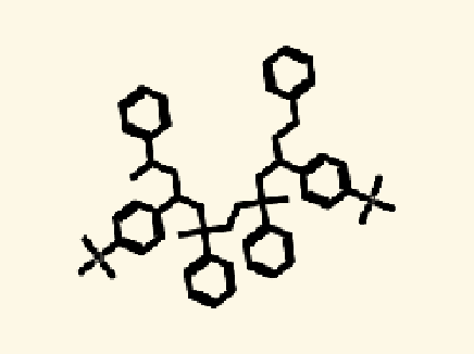 CC(CC(CC(C)(CCC(C)(CC(CCc1ccccc1)c1ccc([Si](C)(C)C)cc1)c1ccccc1)c1ccccc1)c1ccc([Si](C)(C)C)cc1)c1ccccc1